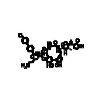 C[C@@H]1NC(=O)[C@@H](N(C)C(=O)[C@H](CCCCN)NC(=O)c2ccc(-c3ccc(Cl)cc3)cc2)c2ccc(O)c(c2)-c2cc(ccc2O)C[C@@H](C(=O)N[C@@H](C)C(=O)N(C)[C@H]2CCNC2=O)NC1=O